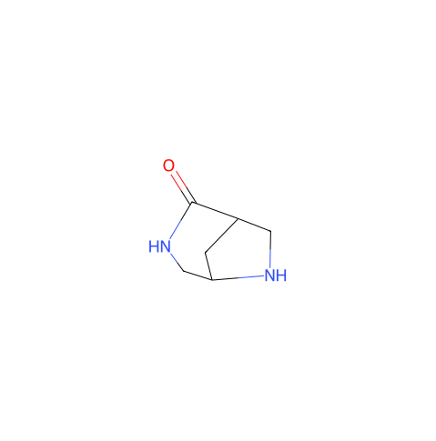 O=C1NCC2CC1CN2